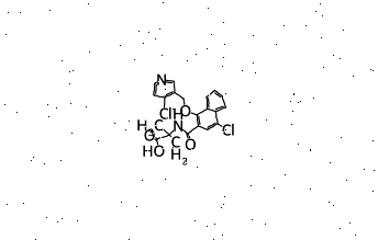 CC(C)(NC(=O)c1cc(Cl)c2ccccc2c1OCc1cnccc1Cl)C(=O)O